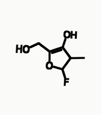 CC1C(O)=C(CO)OC1F